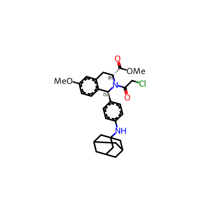 COC(=O)[C@H]1Cc2cc(OC)ccc2[C@H](c2ccc(NC34CC5CC(CC(C5)C3)C4)cc2)N1C(=O)CCl